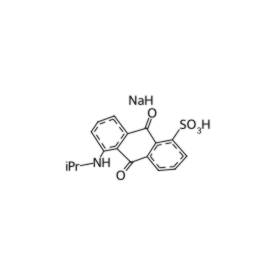 CC(C)Nc1cccc2c1C(=O)c1cccc(S(=O)(=O)O)c1C2=O.[NaH]